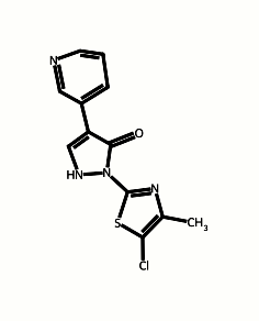 Cc1nc(-n2[nH]cc(-c3cccnc3)c2=O)sc1Cl